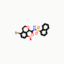 COc1ccc(Br)c2c1C(C(=O)NS(=O)(=O)c1cccc3ccccc13)OCC2